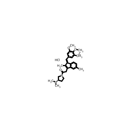 COc1cc(/C=C2/C(C)=C(CC(=O)N3CC[C@@H](N(C)C)C3)c3cc(C)ccc32)cc(OC)c1OC.Cl